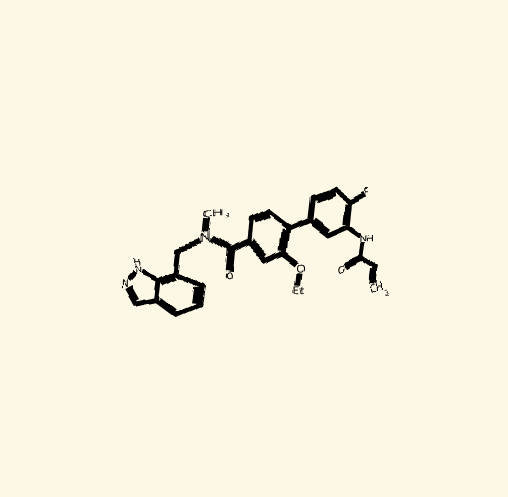 C=CC(=O)Nc1cc(-c2ccc(C(=O)N(C)Cc3cccc4cn[nH]c34)cc2OCC)ccc1F